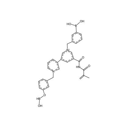 C=C(C)C(=O)NC(=O)c1cc(-c2ccc[n+](Cc3cccc(OBO)c3)c2)c[n+](Cc2cccc(B(O)O)c2)c1